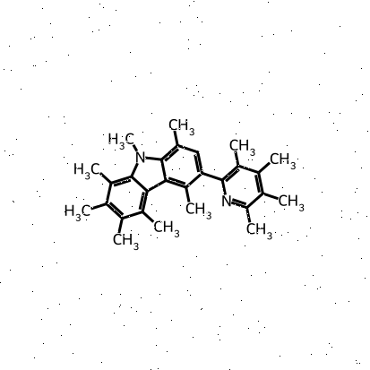 Cc1nc(-c2cc(C)c3c(c2C)c2c(C)c(C)c(C)c(C)c2n3C)c(C)c(C)c1C